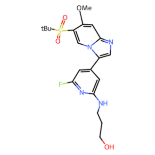 COc1cc2ncc(-c3cc(F)nc(NCCCO)c3)n2cc1S(=O)(=O)C(C)(C)C